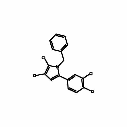 Clc1ccc(-c2cc(Cl)c(Cl)n2Cc2ccccc2)cc1Cl